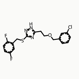 Fc1ccc(F)c(CSc2n[nH]c(CCOCc3cccc(Cl)c3)n2)c1